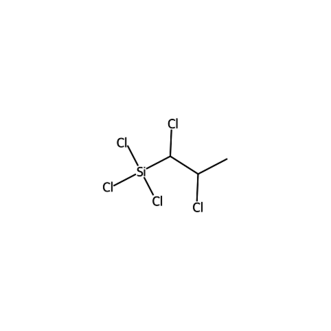 CC(Cl)C(Cl)[Si](Cl)(Cl)Cl